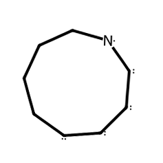 [C]1[C][C][N]CCCC[C]1